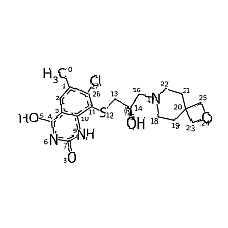 Cc1cc2c(O)nc(=O)[nH]c2c(SC[C@H](O)CN2CCC3(CC2)COC3)c1Cl